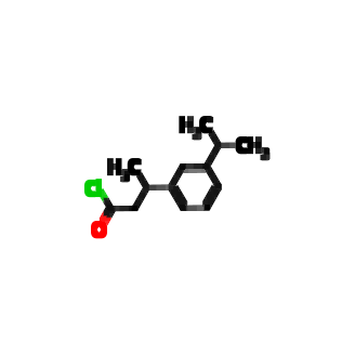 CC(C)c1cccc(C(C)CC(=O)Cl)c1